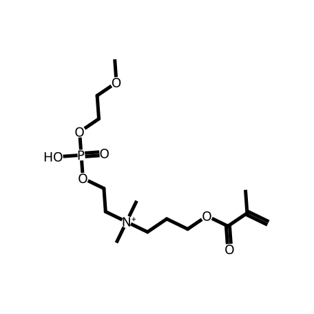 C=C(C)C(=O)OCCC[N+](C)(C)CCOP(=O)(O)OCCOC